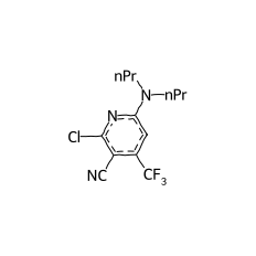 CCCN(CCC)c1cc(C(F)(F)F)c(C#N)c(Cl)n1